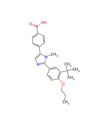 CCCOc1ccc(-c2ncc(-c3ccc(C(=O)O)cc3)n2C)cc1C(C)(C)C